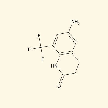 Nc1cc2c(c(C(F)(F)F)c1)NC(=O)CC2